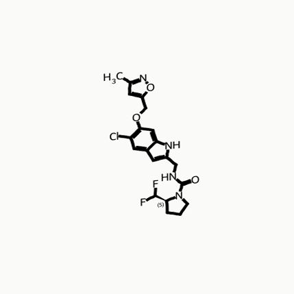 Cc1cc(COc2cc3[nH]c(CNC(=O)N4CCC[C@H]4C(F)F)cc3cc2Cl)on1